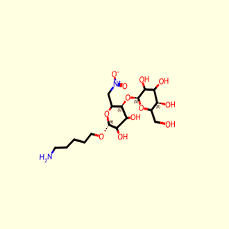 NCCCCCO[C@@H]1OC(C[N+](=O)[O-])[C@@H](O[C@@H]2OC(CO)[C@H](O)C(O)C2O)C(O)C1O